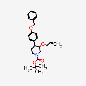 C=CCOC1CN(C(=O)OC(C)(C)C)CCC1c1ccc(OCc2ccccc2)cc1